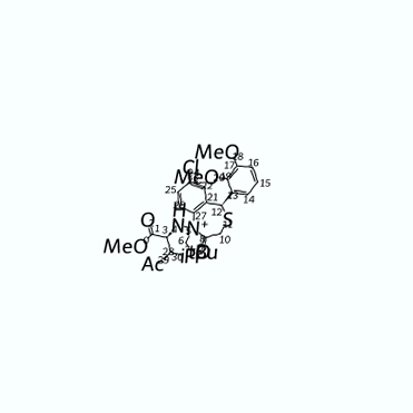 COC(=O)[C@@H](N[N+]1(CC(C)(C)C)C(=O)CS[C@H](c2cccc(OC)c2OC)c2cc(Cl)ccc21)[C@H](C(C)=O)C(C)C